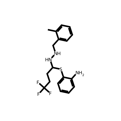 Cc1ccccc1CNNC(CCC(F)(F)F)Sc1ccccc1N